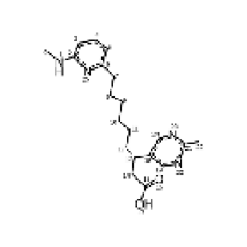 CNc1cccc(CCCCCC[C@@H](CC(=O)O)c2cnc(C)nc2)n1